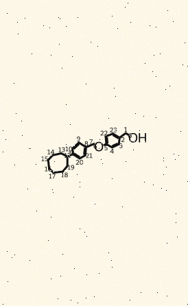 OCc1ccc(OCc2ccc(C3CCCCCCC3)cc2)cc1